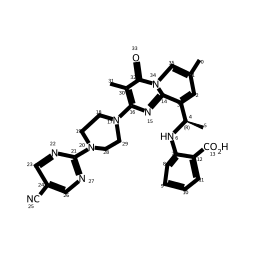 Cc1cc([C@@H](C)Nc2ccccc2C(=O)O)c2nc(N3CCN(c4ncc(C#N)cn4)CC3)c(C)c(=O)n2c1